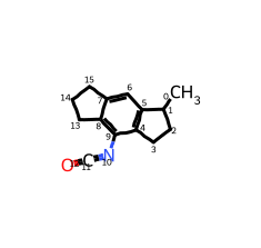 CC1CCc2c1cc1c(c2N=C=O)CCC1